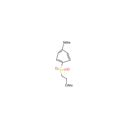 CNc1ccc(S(=O)(=O)CCOC)cc1